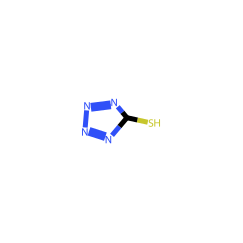 S[C]1N=NN=N1